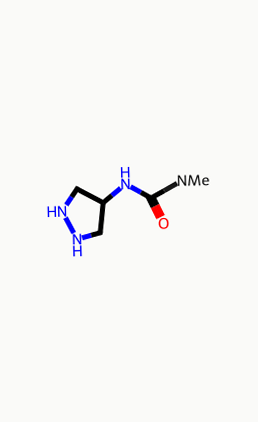 CNC(=O)NC1CNNC1